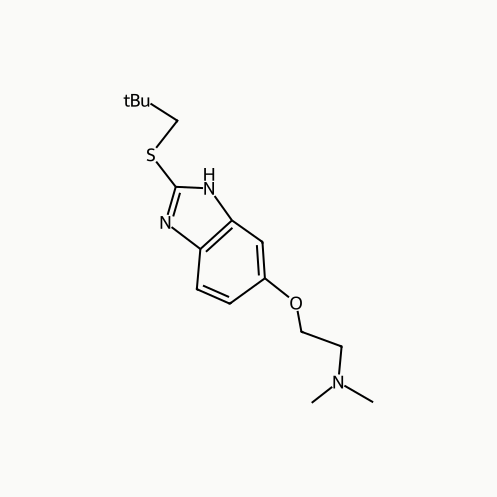 CN(C)CCOc1ccc2nc(SCC(C)(C)C)[nH]c2c1